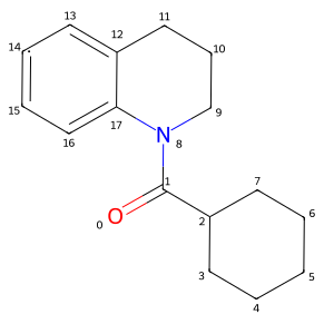 O=C(C1CCCCC1)N1CCCc2c[c]ccc21